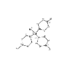 CN1CCN([Si](Br)(N2CCN(C)CC2)N2CCN(C)CC2)CC1